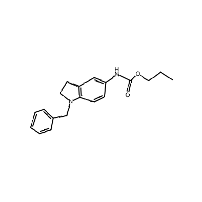 CCCOC(=O)Nc1ccc2c(c1)CCN2Cc1ccccc1